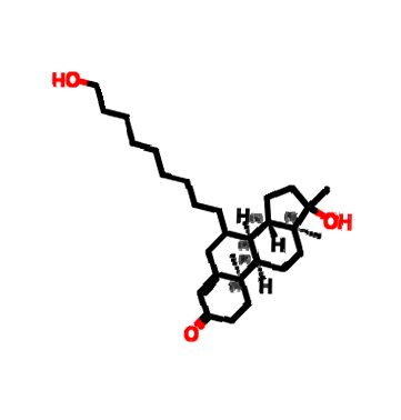 CC1(O)CC[C@H]2[C@@H]3C(CCCCCCCCCO)CC4=CC(=O)CC[C@]4(C)[C@@H]3CC[C@@]21C